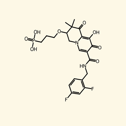 CC1(C)C(=O)c2c(O)c(=O)c(C(=O)NCc3ccc(F)cc3F)cn2CC1OCCCP(=O)(O)O